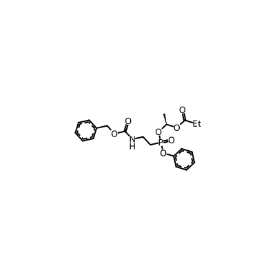 CCC(=O)O[C@H](C)OP(=O)(CCNC(=O)OCc1ccccc1)Oc1ccccc1